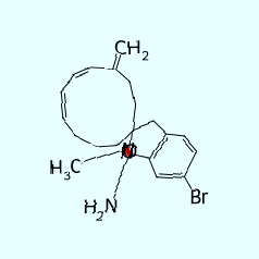 C=C1/C=C\C=C/CCCC2(CC1)Cc1ccc(Br)cc1C21N=C(N)N(C)O1